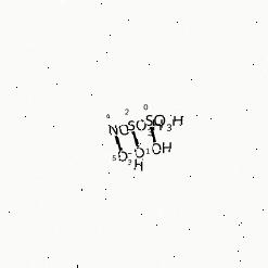 O=S(=O)(O)O.O=S(=O)(O)O.O=[NH+][O-]